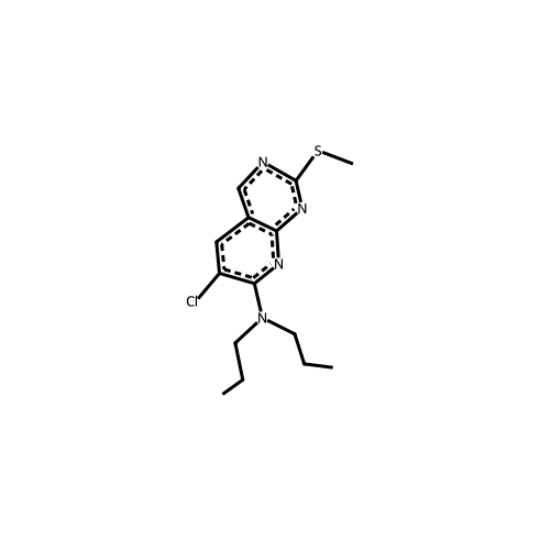 CCCN(CCC)c1nc2nc(SC)ncc2cc1Cl